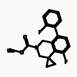 CC(C)(C)OC(=O)N1Cc2c(-c3ccccc3F)ccc(F)c2C2(CC2)C1